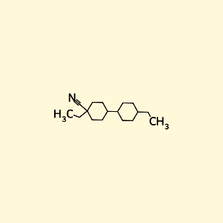 CCC1CCC(C2CCC(C#N)(CC)CC2)CC1